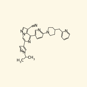 CC(C)n1cc(-c2cn3ncc(C#N)c3c(-c3ccc(N4CCC(Cc5ccccn5)CC4)nc3)n2)cn1